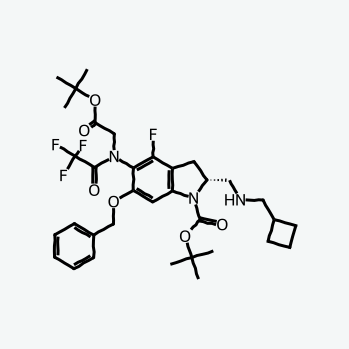 CC(C)(C)OC(=O)CN(C(=O)C(F)(F)F)c1c(OCc2ccccc2)cc2c(c1F)C[C@H](CNCC1CCC1)N2C(=O)OC(C)(C)C